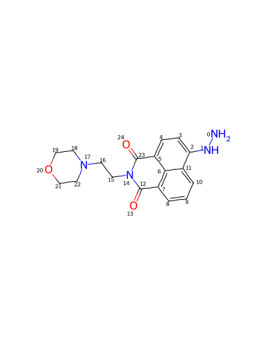 NNc1ccc2c3c(cccc13)C(=O)N(CCN1CCOCC1)C2=O